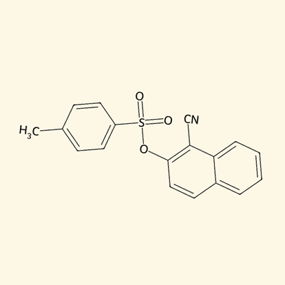 Cc1ccc(S(=O)(=O)Oc2ccc3ccccc3c2C#N)cc1